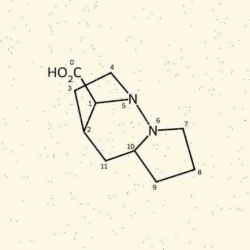 O=C(O)C1C2CCN1N1CCCC1C2